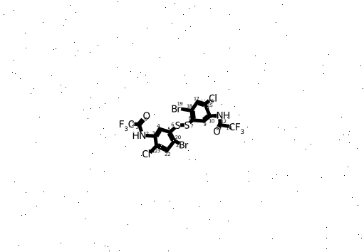 O=C(Nc1cc(SSc2cc(NC(=O)C(F)(F)F)c(Cl)cc2Br)c(Br)cc1Cl)C(F)(F)F